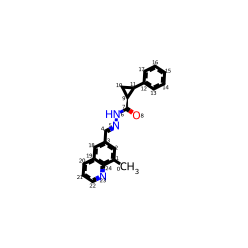 Cc1cc(C=NNC(=O)[C@H]2CC2c2ccccc2)cc2cccnc12